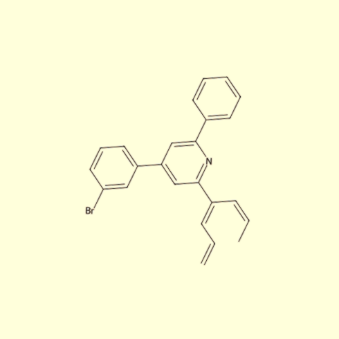 C=C/C=C(\C=C/C)c1cc(-c2cccc(Br)c2)cc(-c2ccccc2)n1